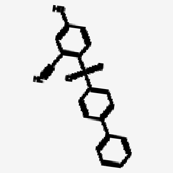 C#Cc1cc(O)ccc1S(=O)(=O)c1ccc(-c2ccccc2)cc1